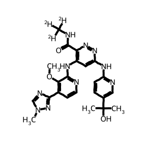 [2H]C([2H])([2H])NC(=O)c1nnc(Nc2ccc(C(C)(C)O)cn2)cc1Nc1nccc(-c2ncn(C)n2)c1OC